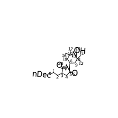 CCCCCCCCCCCCC1CC(=O)N(C2CC(C)(C)N(O)C(C)(C)C2)C1=O